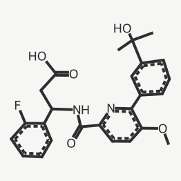 COc1ccc(C(=O)NC(CC(=O)O)c2ccccc2F)nc1-c1cccc(C(C)(C)O)c1